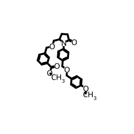 COC(=O)c1cccc(COCC2CCC(=O)N2c2ccc(COCc3ccc(OC)cc3)cc2)c1